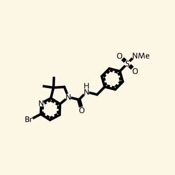 CNS(=O)(=O)c1ccc(CNC(=O)N2CC(C)(C)c3nc(Br)ccc32)cc1